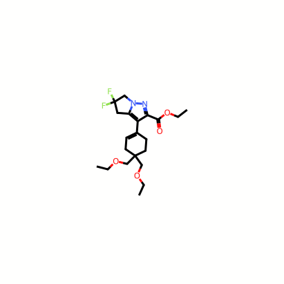 CCOCC1(COCC)CC=C(c2c(C(=O)OCC)nn3c2CC(F)(F)C3)CC1